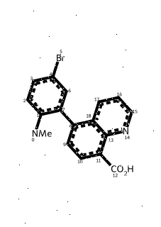 CNc1ccc(Br)cc1-c1ccc(C(=O)O)c2ncccc12